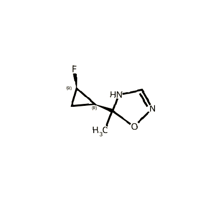 CC1([C@H]2C[C@H]2F)NC=NO1